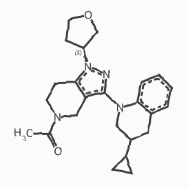 CC(=O)N1CCc2c(c(N3CC(C4CC4)Cc4ccccc43)nn2[C@H]2CCOC2)C1